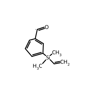 C=C[Si](C)(C)c1cccc([C]=O)c1